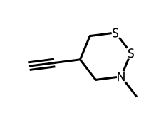 C#CC1CSSN(C)C1